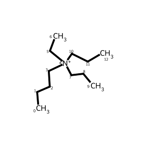 CCCC[N+](CC)(CCC)CCC